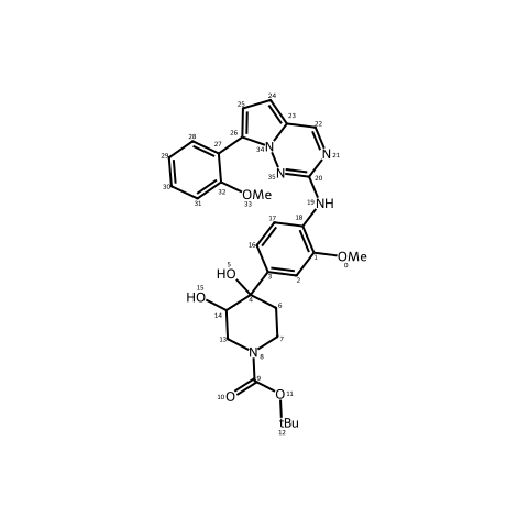 COc1cc(C2(O)CCN(C(=O)OC(C)(C)C)CC2O)ccc1Nc1ncc2ccc(-c3ccccc3OC)n2n1